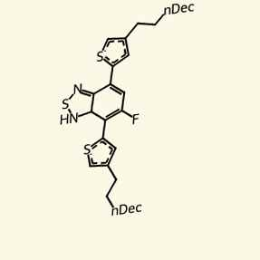 CCCCCCCCCCCCc1csc(C2=CC(F)=C(c3cc(CCCCCCCCCCCC)cs3)C3NSN=C23)c1